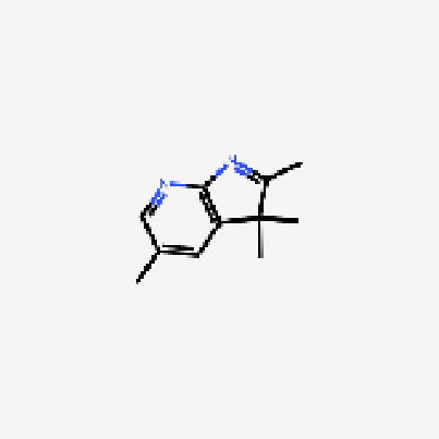 CC1=Nc2ncc(C)cc2C1(C)C